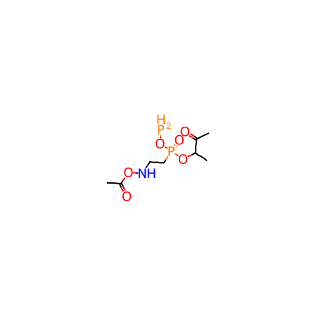 CC(=O)ONCCP(=O)(OP)OC(C)C(C)=O